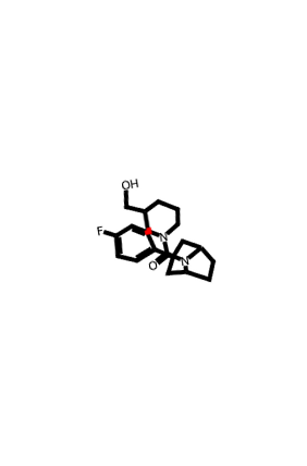 O=C(N1CCCC(CO)C1)N1C2CCC1CC(c1ccc(F)cc1)C2